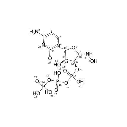 Nc1ccn([C@@H]2O[C@H](NO)[C@@H](OP(=O)(O)OP(=O)(O)OP(=O)(O)O)[C@H]2O)c(=O)n1